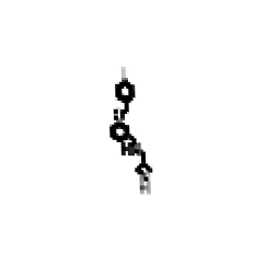 Ic1ccc(COc2cccc(CNCC3CNC3)c2)cc1